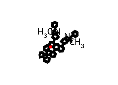 Cn1c(-c2ccccc2)nc2ccc(-c3cccc4c(-c5cccc6c5-c5ccccc5C6(c5ccccc5)c5ccccc5)c5cccc(-c6ccc7nc(-c8ccccc8)n(C)c7c6)c5cc34)cc21